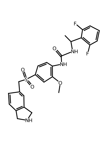 COc1cc(S(=O)(=O)Cc2ccc3c(c2)CNC3)ccc1NC(=O)NC(C)c1c(F)cccc1F